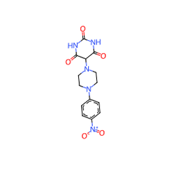 O=C1NC(=O)C(N2CCN(c3ccc([N+](=O)[O-])cc3)CC2)C(=O)N1